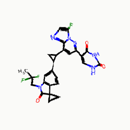 CC(F)(F)CN1C(=O)C2(CC2)c2ccc([C@H]3CC3c3cc(-c4c[nH]c(=O)[nH]c4=O)nn4c(F)cnc34)cc21